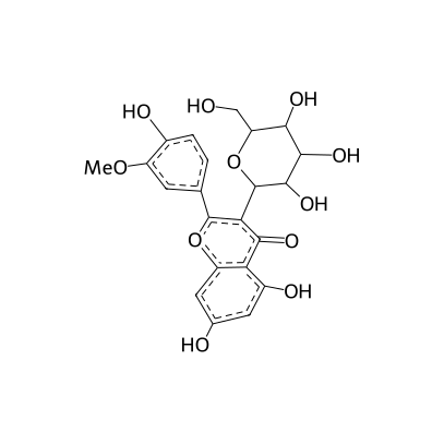 COc1cc(-c2oc3cc(O)cc(O)c3c(=O)c2C2OC(CO)C(O)C(O)C2O)ccc1O